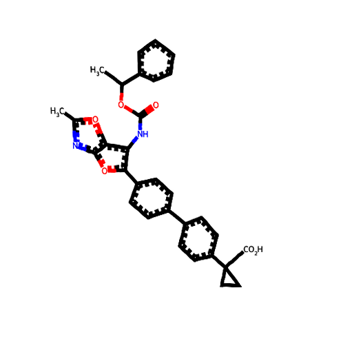 Cc1nc2oc(-c3ccc(-c4ccc(C5(C(=O)O)CC5)cc4)cc3)c(NC(=O)OC(C)c3ccccc3)c2o1